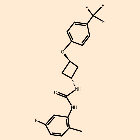 Cc1ccc(F)cc1NC(=O)N[C@H]1C[C@H](Oc2ccc(C(F)(F)F)cc2)C1